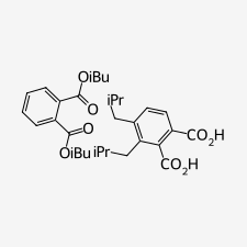 CC(C)COC(=O)c1ccccc1C(=O)OCC(C)C.CC(C)Cc1ccc(C(=O)O)c(C(=O)O)c1CC(C)C